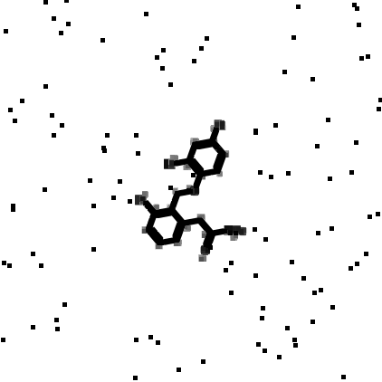 CCc1ccc(OCc2c(CC)cccc2CC(=O)NC)c(CC)c1